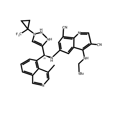 Cc1cncc2cccc([C@H](Nc3cc(C#N)c4ncc(C#N)c(NCC(C)(C)C)c4c3)C3=CN(C4(C(F)(F)F)CC4)NN3)c12